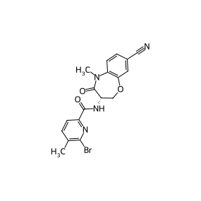 Cc1ccc(C(=O)N[C@H]2COc3cc(C#N)ccc3N(C)C2=O)nc1Br